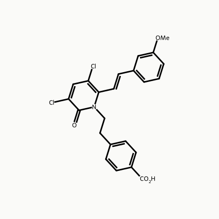 COc1cccc(/C=C/c2c(Cl)cc(Cl)c(=O)n2CCc2ccc(C(=O)O)cc2)c1